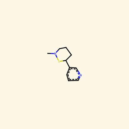 CN1CCCC(c2cccnc2)S1